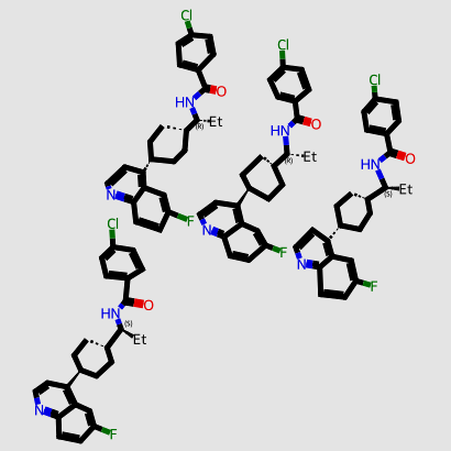 CC[C@@H](NC(=O)c1ccc(Cl)cc1)[C@H]1CC[C@@H](c2ccnc3ccc(F)cc32)CC1.CC[C@@H](NC(=O)c1ccc(Cl)cc1)[C@H]1CC[C@H](c2ccnc3ccc(F)cc32)CC1.CC[C@H](NC(=O)c1ccc(Cl)cc1)[C@H]1CC[C@@H](c2ccnc3ccc(F)cc32)CC1.CC[C@H](NC(=O)c1ccc(Cl)cc1)[C@H]1CC[C@H](c2ccnc3ccc(F)cc32)CC1